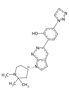 CN1CC[C@H](n2ccc3cc(-c4ccc(-n5ccnn5)cc4O)nnc32)CC1(C)C